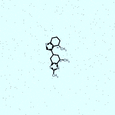 Cc1nc2c(s1)CC(c1csc3c1[C@H](C)CCC3)C[C@H]2C